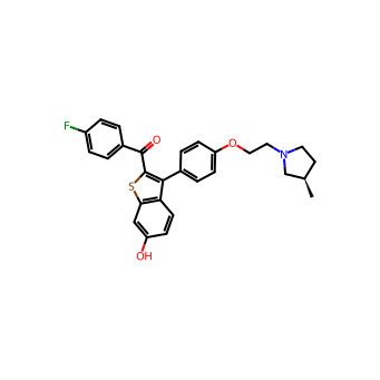 C[C@@H]1CCN(CCOc2ccc(-c3c(C(=O)c4ccc(F)cc4)sc4cc(O)ccc34)cc2)C1